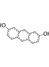 Oc1ccc2cc3ccc(O)cc3cc2c1